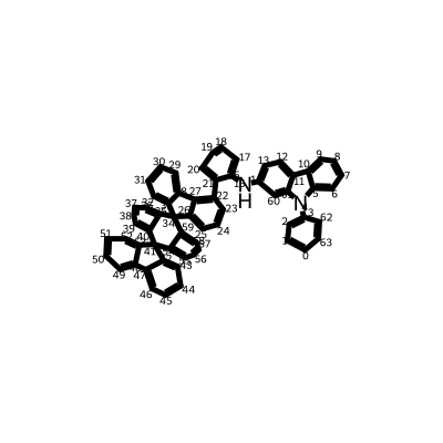 c1ccc(-n2c3ccccc3c3ccc(Nc4ccccc4-c4cccc5c4-c4ccccc4C54c5ccccc5C5(c6ccccc6-c6ccccc65)c5ccccc54)cc32)cc1